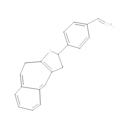 C=Cc1ccc(C2CC3=C(CC=c4ccccc4=C3)S2)cc1